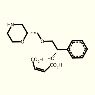 O=C(O)/C=C\C(=O)O.O[C@H](COC[C@H]1CNCCO1)c1ccccc1